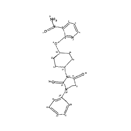 NC(=O)c1cccnc1OC1CCC(N2C(=O)CN(c3ccccc3)C2=O)CC1